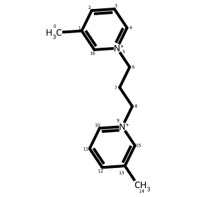 Cc1ccc[n+](CCC[n+]2cccc(C)c2)c1